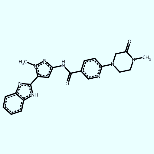 CN1CCN(c2ccc(C(=O)Nc3cc(-c4nc5ccccc5[nH]4)n(C)n3)cn2)CC1=O